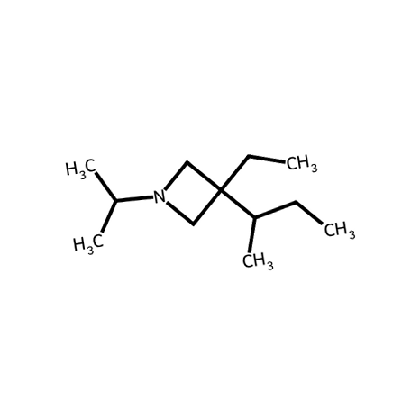 CCC(C)C1(CC)CN(C(C)C)C1